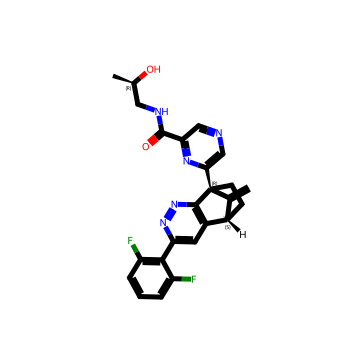 C=C1[C@@H]2CC[C@@]1(c1cncc(C(=O)NC[C@@H](C)O)n1)c1nnc(-c3c(F)cccc3F)cc12